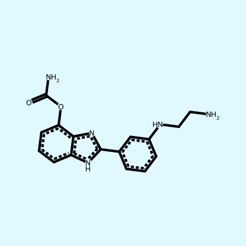 NCCNc1cccc(-c2nc3c(OC(N)=O)cccc3[nH]2)c1